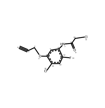 C#CCOc1cc(NC(=O)CCl)c(F)cc1Cl